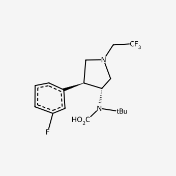 CC(C)(C)N(C(=O)O)[C@H]1CN(CC(F)(F)F)C[C@@H]1c1cccc(F)c1